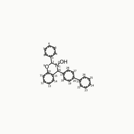 ON1C(c2ccccc2)Oc2ccccc2C1c1ccc(-c2ccccc2)cc1